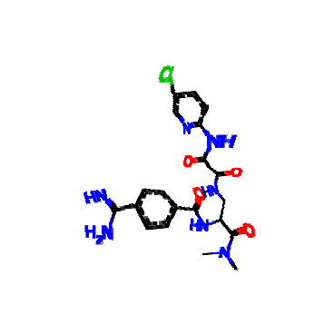 CN(C)C(=O)C(CNC(=O)C(=O)Nc1ccc(Cl)cn1)NC(=O)c1ccc(C(=N)N)cc1